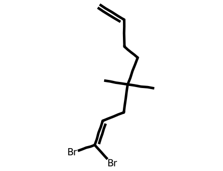 C=CCCC(C)(C)CC=C(Br)Br